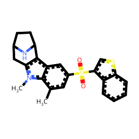 Cc1cc(S(=O)(=O)c2csc3ccccc23)cc2c3c(n(C)c12)CC1CCC3N1